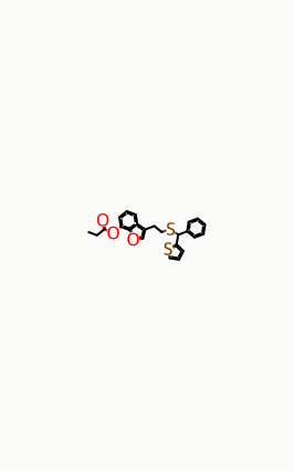 CCC(=O)Oc1cccc2c(CCSC(c3ccccc3)c3cccs3)coc12